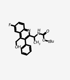 CC(NC(=O)OC(C)(C)C)c1nc2ccc(F)cc2c(CO)c1-c1ccccc1